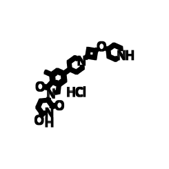 Cc1cc(C2CCN(C3CC(OC4CCNCC4)C3)CC2)cc2c1C(=O)N(C1CCC(=O)NC1=O)C2.Cl